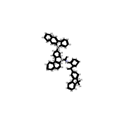 C/C(=N\c1ccccc1C(C)c1ccc2c(c1)-c1ccccc1C2(C)C)n1c2cc(-n3c4ccccc4c4cc5ccccc5cc43)ccc2c2c3ccccc3ccc21